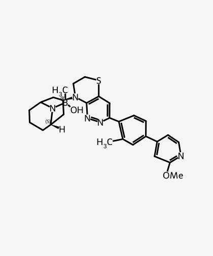 COc1cc(-c2ccc(-c3cc4c(nn3)N([C@@H]3CC5CCC[C@@H](C3)N5B(C)O)CCS4)c(C)c2)ccn1